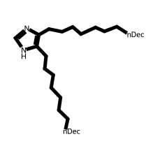 CCCCCCCCCCCCCCCCCc1nc[nH]c1CCCCCCCCCCCCCCCCC